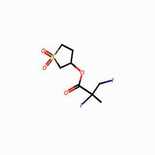 CC(I)(CI)C(=O)OC1CCS(=O)(=O)C1